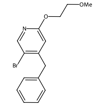 COCCOc1cc(Cc2ccccc2)c(Br)cn1